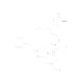 CCOC(=O)/C=C/[C@H](C[C@@H]1CCNC1=O)NC(=O)[C@H](CC(C)C)NC(=O)[C@H](CC(=O)OC(C)(C)C)NC(=O)OCc1ccccc1